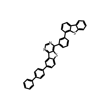 c1ccc(-c2ccc(-c3ccc4sc5c(-c6cccc(-c7cccc8c7sc7ccccc78)c6)ncnc5c4c3)cc2)cc1